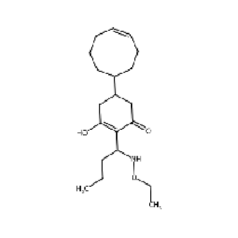 CCCC(NOCC)C1=C(O)CC(C2CCC=CCCC2)CC1=O